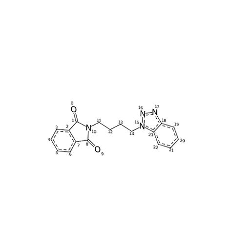 O=C1c2ccccc2C(=O)N1CCCCn1nnc2ccccc21